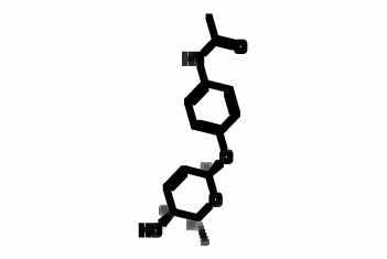 CC(=O)Nc1ccc(O[C@@H]2C=C[C@H](O)[C@@H](C)O2)cc1